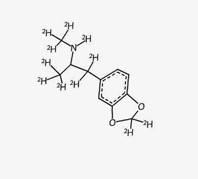 [2H]N(C(C([2H])([2H])[2H])C([2H])([2H])c1ccc2c(c1)OC([2H])([2H])O2)C([2H])([2H])[2H]